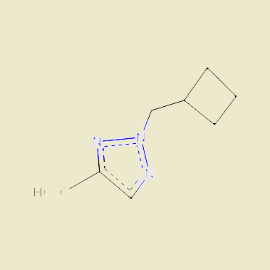 O=C(O)c1cnn(CC2CCC2)n1